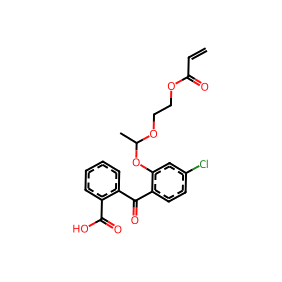 C=CC(=O)OCCOC(C)Oc1cc(Cl)ccc1C(=O)c1ccccc1C(=O)O